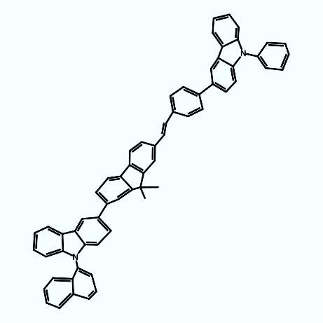 CC1(C)c2cc(/C=C/c3ccc(-c4ccc5c(c4)c4ccccc4n5-c4ccccc4)cc3)ccc2-c2ccc(-c3ccc4c(c3)c3ccccc3n4-c3cccc4ccccc34)cc21